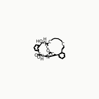 O=S1(=O)Nc2nc3cc(n2)-c2ccccc2/C=C/CCCCCC[C@H](CO3)NC(O)c2cccc1c2